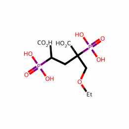 CCOCC(CC(C(=O)O)P(=O)(O)O)(C(=O)O)P(=O)(O)O